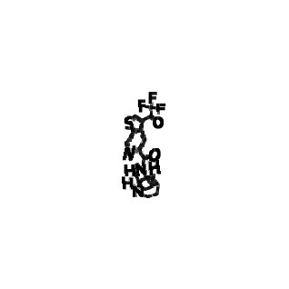 C[C@H]1[C@H](NC(=O)c2cc3c(C(=O)C(F)(F)F)csc3cn2)C2CCN1CC2